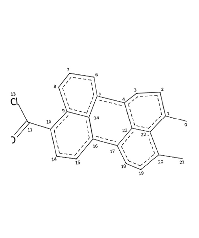 Cc1ccc2c3cccc4c(C(=O)Cl)ccc(c5ccc(C)c1c25)c43